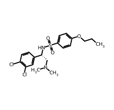 CCCOc1ccc(S(=O)(=O)N[C@H](CN(C)C)c2ccc(Cl)c(Cl)c2)cc1